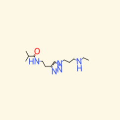 CCNCCCn1cc(CCNC(=O)C(C)C)nn1